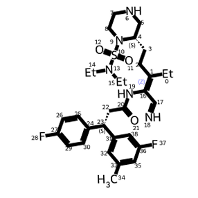 CC/C(CC[C@H]1CNCCN1S(=O)(=O)N(CC)CC)=C(\C=N)NC(=O)C[C@@H](c1ccc(F)cc1)c1cc(C)cc(F)c1